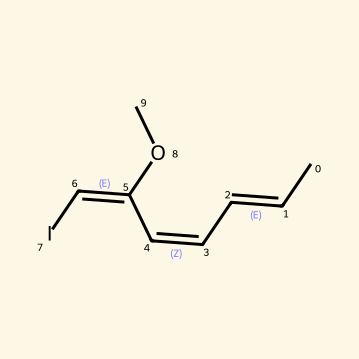 C/C=C/C=C\C(=C/I)OC